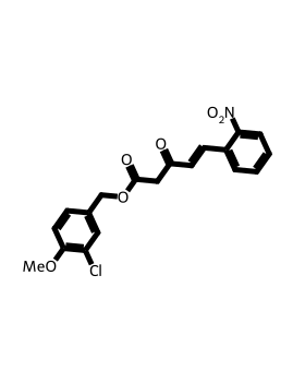 COc1ccc(COC(=O)CC(=O)C=Cc2ccccc2[N+](=O)[O-])cc1Cl